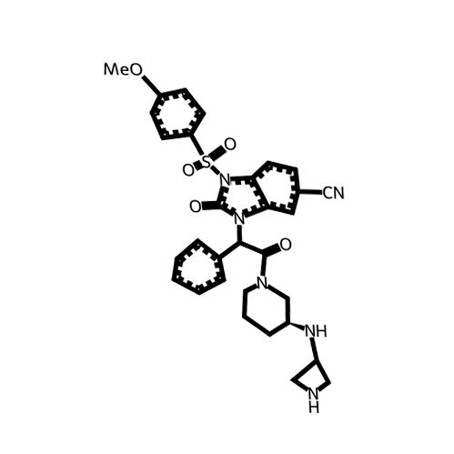 COc1ccc(S(=O)(=O)n2c(=O)n(C(C(=O)N3CCC[C@H](NC4CNC4)C3)c3ccccc3)c3cc(C#N)ccc32)cc1